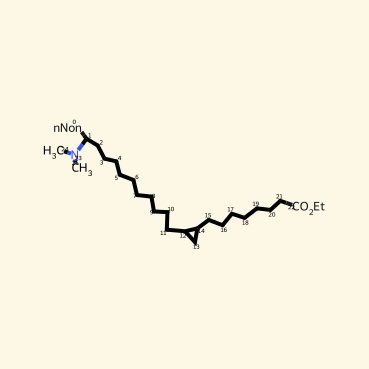 CCCCCCCCCC(CCCCCCCCCCC1CC1CCCCCCCC(=O)OCC)N(C)C